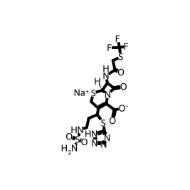 NS(=O)(=O)NCCC(Sc1nnn[nH]1)C1=C(C(=O)[O-])N2C(=O)C(NC(=O)CSC(F)(F)F)[C@@H]2SC1.[Na+]